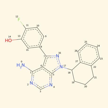 Nc1ncnc2c1c(-c1ccc(F)c(O)c1)nn2C1CCCc2ccccc21